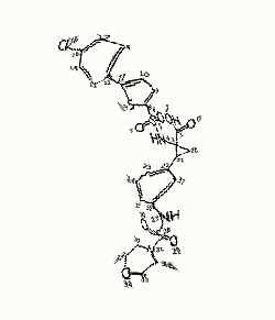 O=C(O)C1(NS(=O)(=O)c2ccc(-c3ccc(Cl)cc3)s2)CC1c1cccc(NS(=O)(=O)N2CCOCC2)c1